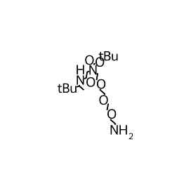 CC(NC(=O)CN(CCOCCOCCOCCN)C(=O)OC(C)(C)C)C(C)(C)C